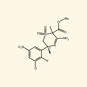 CC(C)(C)OC(=O)C1(C)C(N)=N[C@](C)(c2cc([N+](=O)[O-])cc(Cl)c2F)CS1(=O)=O